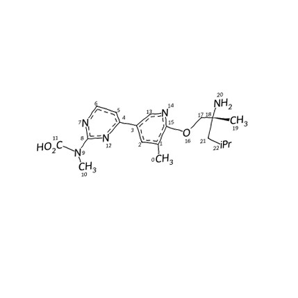 Cc1cc(-c2ccnc(N(C)C(=O)O)n2)cnc1OC[C@](C)(N)CC(C)C